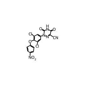 N#Cc1nn(-c2cc(Cl)c(Oc3ccc([N+](=O)[O-])cc3)c(Cl)c2)c(=O)[nH]c1=O